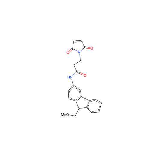 COCC1c2ccccc2-c2cc(NC(=O)CCN3C(=O)C=CC3=O)ccc21